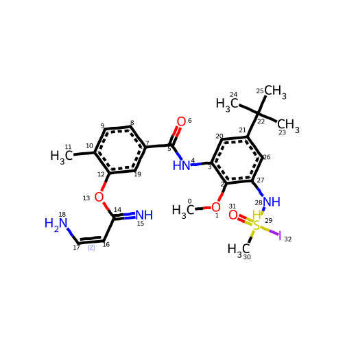 COc1c(NC(=O)c2ccc(C)c(OC(=N)/C=C\N)c2)cc(C(C)(C)C)cc1N[SH](C)(=O)I